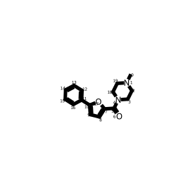 CN1CCN(C(=O)c2ccc(-c3ccccc3)o2)CC1